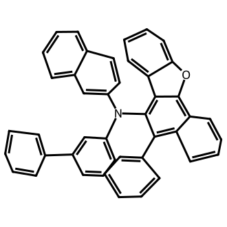 c1ccc(-c2cccc(N(c3ccc4ccccc4c3)c3c(-c4ccccc4)c4ccccc4c4oc5ccccc5c34)c2)cc1